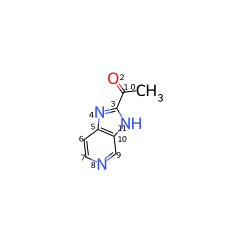 CC(=O)c1nc2ccncc2[nH]1